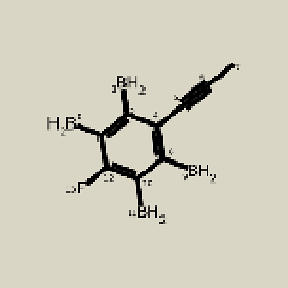 Bc1c(B)c(C#CC)c(B)c(B)c1F